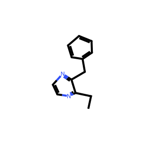 CCc1nccnc1Cc1ccccc1